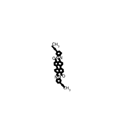 CC#Cc1ccc2nc3c4ccc5c6ccc7c(=O)n8c9cc(C#CCC)ccc9nc8c8ccc(c9ccc(c(=O)n3c2c1)c4c95)c6c78